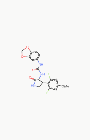 COc1cc(F)c([C@@H]2CNC(=O)[C@H]2NC(=O)Nc2ccc3c(c2)OCO3)c(F)c1